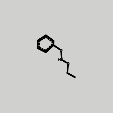 CCOBOc1ccccc1